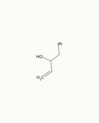 C=CC(O)CC(C)C